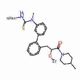 CCCCCCNC(=S)N(C)c1cccc(-c2ccccc2CC(OCC)C(=O)N2CCC(C)CC2)c1